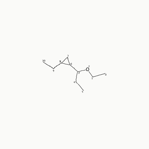 CCOC(CC)C1CC1CC